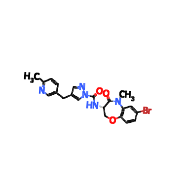 Cc1ccc(Cc2cnn(C(=O)N[C@H]3COc4ccc(Br)cc4N(C)C3=O)c2)cn1